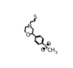 CS(=O)(=O)c1ccc(C2CN(CC=S)CCO2)cc1